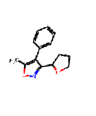 Cc1onc(C2CCCO2)c1-c1ccccc1